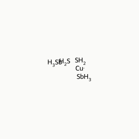 S.S.[Cu].[SbH3].[SbH3]